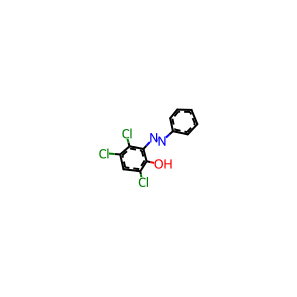 Oc1c(Cl)cc(Cl)c(Cl)c1/N=N/c1ccccc1